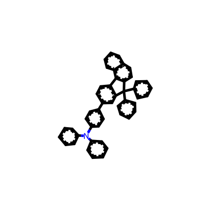 c1ccc(N(c2ccccc2)c2ccc(-c3ccc4c(c3)C(c3ccccc3)(c3ccccc3)c3ccc5ccccc5c3-4)cc2)cc1